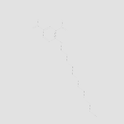 NCCOCCOCCOCCNc1ccc([N+](=O)[O-])cc1[N+](=O)[O-]